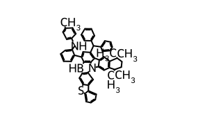 Cc1ccc(Nc2ccccc2-c2cc(C(c3ccccc3)c3ccccc3)c3c4cc5c(cc4n4c3c2Bc2cc3sc6ccccc6c3cc2-4)C(C)(C)CCC5(C)C)cc1